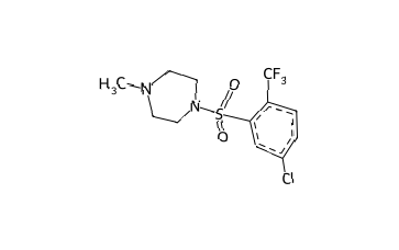 CN1CCN(S(=O)(=O)c2cc(Cl)ccc2C(F)(F)F)CC1